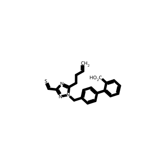 C=CCCc1nc(C=S)nn1Cc1ccc(-c2ccccc2C(=O)O)cc1